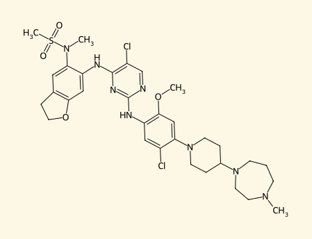 COc1cc(N2CCC(N3CCCN(C)CC3)CC2)c(Cl)cc1Nc1ncc(Cl)c(Nc2cc3c(cc2N(C)S(C)(=O)=O)CCO3)n1